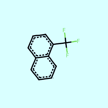 FC(F)(F)c1cccc2cc[c]cc12